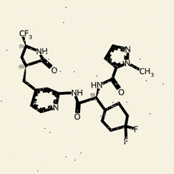 Cn1nccc1C(=O)N[C@H](C(=O)Nc1cc(C[C@H]2C[C@@H](C(F)(F)F)NC2=O)ccn1)C1CCC(F)(F)CC1